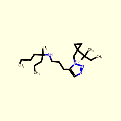 CCCCC(C)(CCC)NCCCc1cnnn1CC1(C(C)(C)CC)CC1